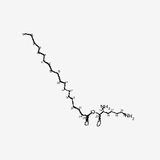 CCCCCCCCCCCCCCCCCCCC(=O)OC(=O)[C@@H](N)CCCCN